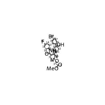 COC(=O)COc1ncc(C(=O)Nc2ccc(F)cc2)c(N2CCC(O)(c3ccc(Br)cc3)CC2)n1